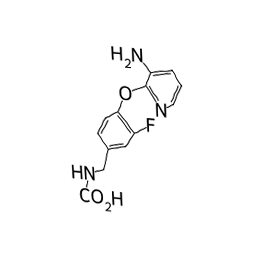 Nc1cccnc1Oc1ccc(CNC(=O)O)cc1F